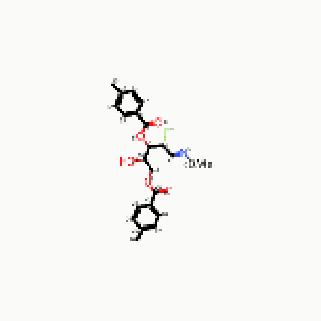 CON=C[C@@H](F)[C@H](OC(=O)c1ccc(C)cc1)[C@H](O)COC(=O)c1ccc(C)cc1